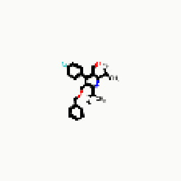 CC(C)c1nc(C(C)C)c(COCc2ccccc2)c(-c2ccc(F)cc2)c1C=O